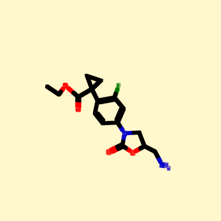 CCOC(=O)C1(c2ccc(N3CC(CN)OC3=O)cc2F)CC1